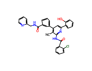 N#Cc1c(-c2cccc(C(=O)NCc3ccccn3)c2)cc(-c2ccccc2O)nc1NC(=O)c1ccccc1Cl